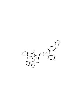 C1=CC2=C3C(C=C1)C1c4ccccc4C4(c5ccccc5-c5ccccc54)c4cc(-c5ccc(N(c6ccccc6)c6ccc7c(c6)oc6ccccc67)cc5)ccc4C31c1ccccc12